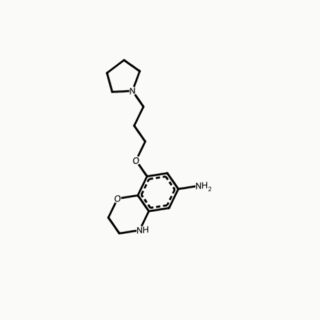 Nc1cc2c(c(OCCCN3CCCC3)c1)OCCN2